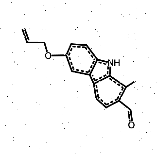 C=CCOc1ccc2[nH]c3c(C)c(C=O)ccc3c2c1